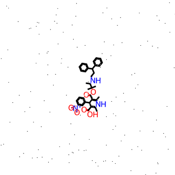 CC1=C(C(=O)O)C(c2cccc([N+](=O)[O-])c2)C(C(=O)OC(C)(C)C(C)NCCC(c2ccccc2)c2ccccc2)=C(C)N1